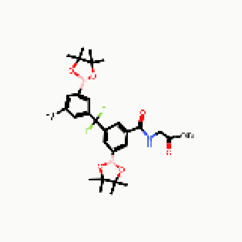 CC(C)COC(=O)CNC(=O)c1cc(B2OC(C)(C)C(C)(C)O2)cc(C(F)(F)c2cc(B3OC(C)(C)C(C)(C)O3)cc(C(F)(F)F)c2)c1